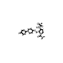 CN(C)C(=O)N1CC[C@H](NS(C)(=O)=O)[C@@H]1COC1CCN(c2ncc(F)cn2)CC1